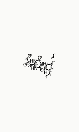 C=C.CCc1nc(C)c[nH]1.O=CC=O.O=c1[nH]c(=O)[nH]c(=O)[nH]1